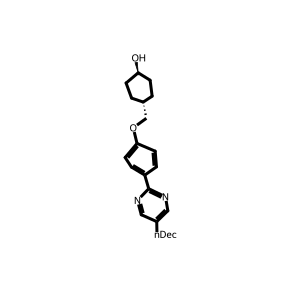 CCCCCCCCCCc1cnc(-c2ccc(OC[C@H]3CC[C@H](O)CC3)cc2)nc1